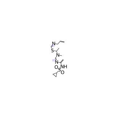 C=CC/N=C\SC(C)N(C)/C=N\C(=C)NS(=O)(=O)C1CC1